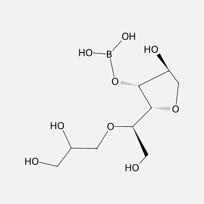 OCC(O)CO[C@H](CO)[C@H]1OC[C@H](O)[C@H]1OB(O)O